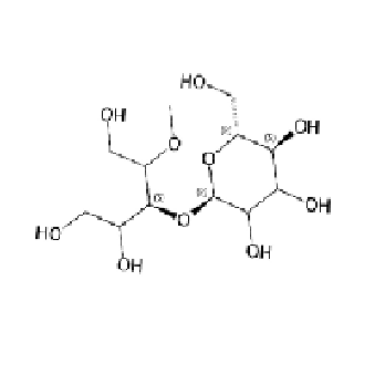 COC(CO)[C@@H](O[C@H]1O[C@H](CO)[C@@H](O)C(O)C1O)C(O)CO